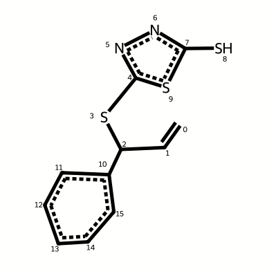 C=CC(Sc1nnc(S)s1)c1ccccc1